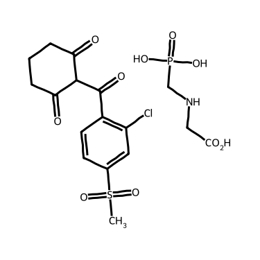 CS(=O)(=O)c1ccc(C(=O)C2C(=O)CCCC2=O)c(Cl)c1.O=C(O)CNCP(=O)(O)O